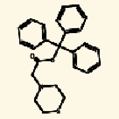 O=C(CN1CCSCC1)SC(c1ccccc1)(c1ccccc1)c1ccccc1